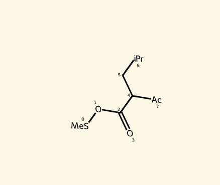 CSOC(=O)C(CC(C)C)C(C)=O